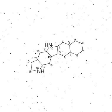 C1CCC2CC3C(CC2C1)NC1CC2CCNC2CC13